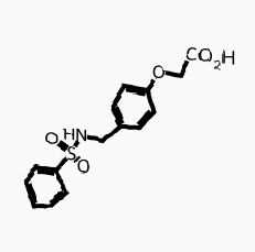 O=C(O)COc1ccc(CNS(=O)(=O)c2ccccc2)cc1